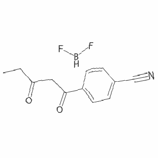 CCC(=O)CC(=O)c1ccc(C#N)cc1.FBF